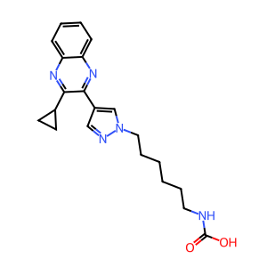 O=C(O)NCCCCCCn1cc(-c2nc3ccccc3nc2C2CC2)cn1